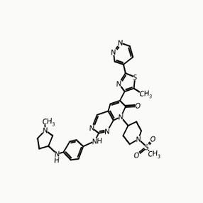 Cc1sc(-c2ccnnc2)nc1-c1cc2cnc(Nc3ccc(NC4CCN(C)C4)cc3)nc2n(C2CCN(S(C)(=O)=O)CC2)c1=O